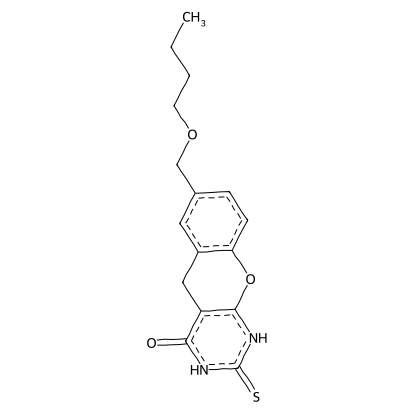 CCCCOCc1ccc2c(c1)Cc1c([nH]c(=S)[nH]c1=O)O2